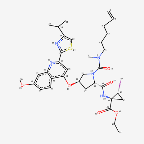 C=CCCCCN(C)C(=O)N1C[C@H](Oc2cc(-c3nc(C(C)C)cs3)nc3cc(OC)ccc23)C[C@H]1C(=O)N[C@]1(C(=O)OCC)C[C@H]1I